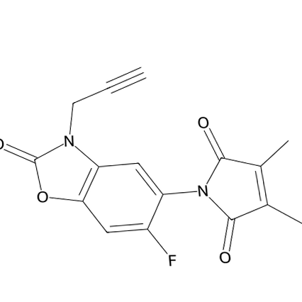 C#CCn1c(=O)oc2cc(F)c(N3C(=O)C(C)=C(C)C3=O)cc21